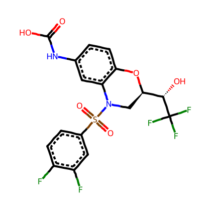 O=C(O)Nc1ccc2c(c1)N(S(=O)(=O)c1ccc(F)c(F)c1)C[C@H]([C@H](O)C(F)(F)F)O2